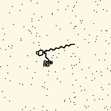 CCCCCCCCCCCC[N+]1(CCCS(=O)(=O)O)CCOCC1